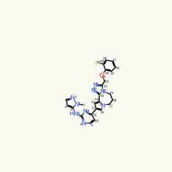 Cn1nccc1Nc1nccc(-c2cc3n(c2)CCCn2c(COc4ccccc4F)nnc2-3)n1